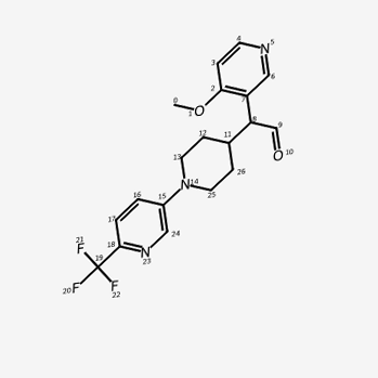 COc1ccncc1C(C=O)C1CCN(c2ccc(C(F)(F)F)nc2)CC1